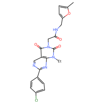 CCn1c(=O)n(CC(=O)NCc2ccc(C)o2)c(=O)c2cnc(-c3ccc(Cl)cc3)nc21